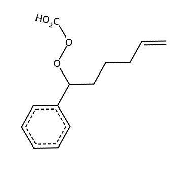 C=CCCCC(OOC(=O)O)c1ccccc1